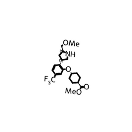 COC[C@@H]1C[C@@H](c2ccc(C(F)(F)F)cc2O[C@H]2CC[C@H](C(=O)OC)CC2)CN1